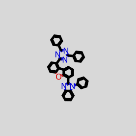 c1ccc(-c2nc(-c3ccccc3)nc(-c3cccc4oc5c(-c6nc7ccccc7n6-c6ccccc6)cccc5c34)n2)cc1